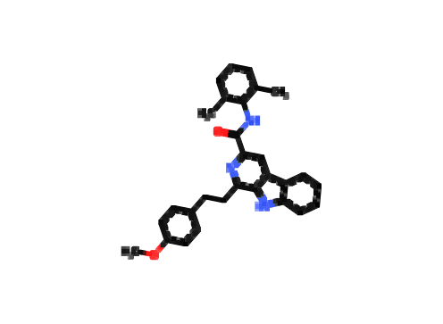 COc1ccc(CCc2nc(C(=O)Nc3c(C)cccc3C)cc3c2[nH]c2ccccc23)cc1